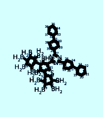 Bc1c(B)c(B)c(-c2c(B)c(-c3nc(-c4ccc(-c5ccccc5)cc4)nc(-c4ccc(-c5ccccc5)cc4)n3)c3sc4c(B)c(B)c(B)c(B)c4c3c2B)c(B)c1B